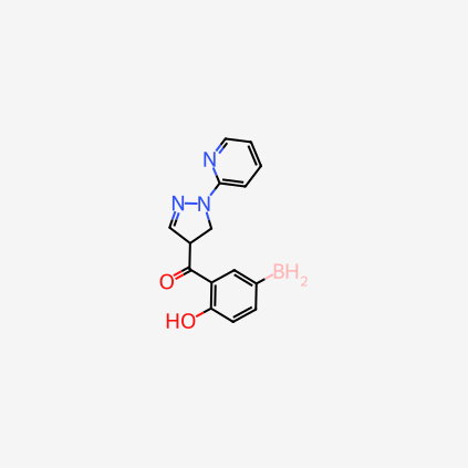 Bc1ccc(O)c(C(=O)C2C=NN(c3ccccn3)C2)c1